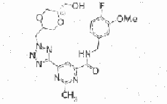 COc1cc(CNC(=O)c2cc(-c3nnn(CC4CO[C@@H](CO)CO4)n3)nc(C)n2)ccc1F